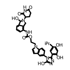 CC(C)c1cc(-c2nnc(O)n2-c2ccc3c(ccn3CCOC(=O)Nc3cccc4c3CN(C3CCC(=O)NC3=O)C4O)c2)c(O)cc1O